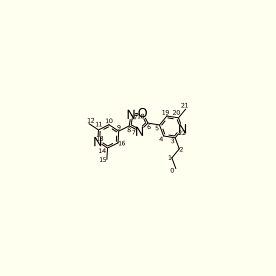 CCCc1cc(-c2nc(-c3cc(C)nc(C)c3)no2)cc(C)n1